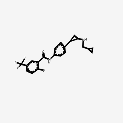 O=C(Nc1ccc(C2CC2NCC2CC2)cc1)c1cc(C(F)(F)F)ccc1F